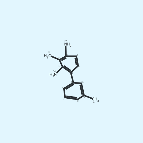 Cc1cccc(-c2ccc(N)c(C)c2N)c1